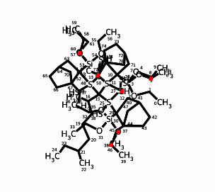 CCO[Si](OCC)(OCC)C1(S(S)(SS)C(C(C)CCCC(C)CC)(S(S)(SS)C2([Si](OCC)(OCC)OCC)CC3CCC2(CC)C3)S(S)(SS)C2([Si](OCC)(OCC)OCC)CC3CCC2(CC)C3)CC2CCC1(CC)C2